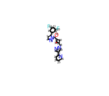 O=C(N1N=CCC1c1cc(F)cc(F)c1)C12CC(Cn3cc(-c4ccccn4)cn3)(C1)C2